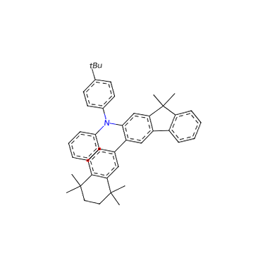 CC(C)(C)c1ccc(N(c2ccccc2)c2cc3c(cc2-c2ccc4c(c2)C(C)(C)CCC4(C)C)-c2ccccc2C3(C)C)cc1